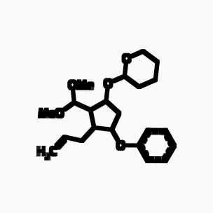 C=CCC1C(Oc2ccccc2)CC(OC2CCCCO2)C1C(OC)OC